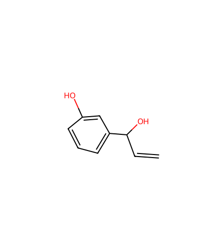 C=CC(O)c1cccc(O)c1